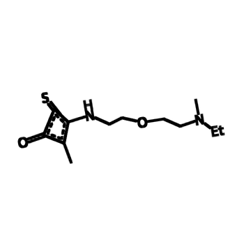 CCN(C)CCOCCNc1c(C)c(=O)c1=S